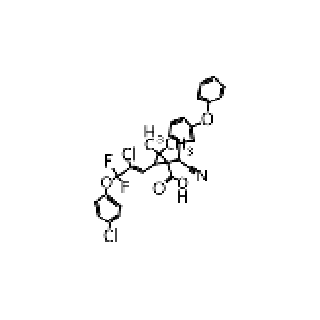 CC1(C)C(C=C(Cl)C(F)(F)Oc2ccc(Cl)cc2)C1(C(=O)O)C(C#N)c1cccc(Oc2ccccc2)c1